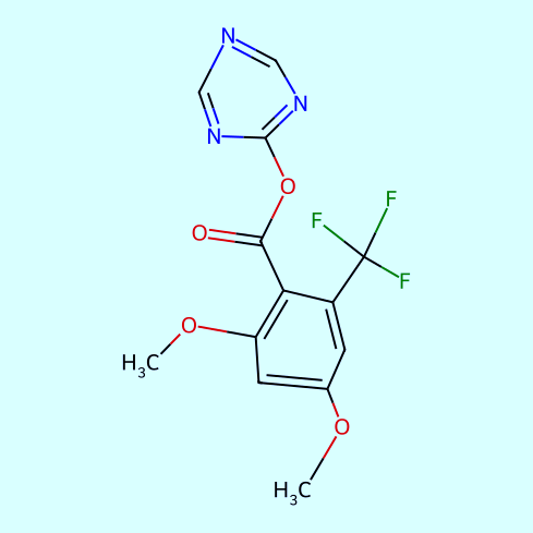 COc1cc(OC)c(C(=O)Oc2ncncn2)c(C(F)(F)F)c1